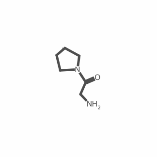 NCC(=O)N1C[CH]CC1